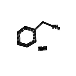 PCc1ccccc1.[NaH]